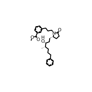 COC(=O)c1cccc(CCCN2C(=O)CC[C@@H]2CC[C@@H](O)[C@@H](C)CCCc2ccccc2)c1